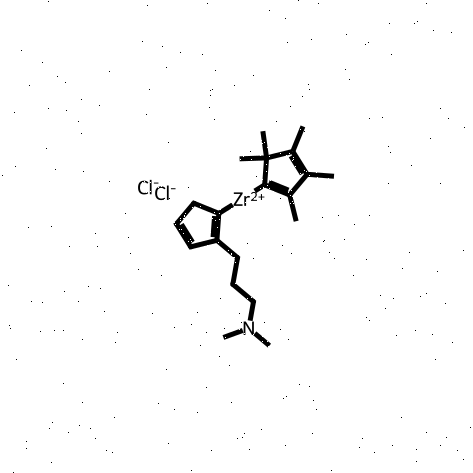 CC1=C(C)C(C)(C)[C]([Zr+2][C]2=C(CCCN(C)C)C=CC2)=C1C.[Cl-].[Cl-]